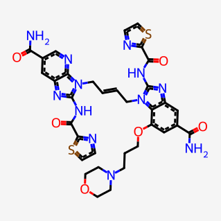 NC(=O)c1cnc2c(c1)nc(NC(=O)c1nccs1)n2CC=CCn1c(NC(=O)c2nccs2)nc2cc(C(N)=O)cc(OCCCN3CCOCC3)c21